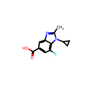 Cc1nc2cc(C(=O)O)cc(F)c2n1C1CC1